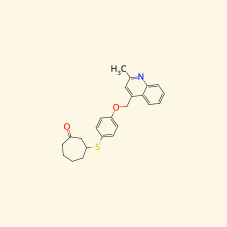 Cc1cc(COc2ccc(SC3CCCCC(=O)C3)cc2)c2ccccc2n1